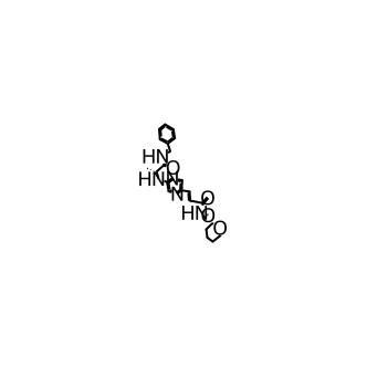 C[C@@H](Nc1cnc(/C=C/C(=O)NOC2CCCCO2)cn1)C(=O)NCc1ccccc1